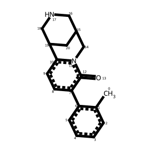 Cc1ccccc1-c1ccc2n(c1=O)CC1CNCC2C1